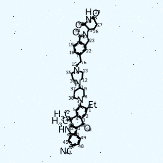 CCc1cc2c(cc1N1CCC(N3CCN(CCc4ccc5c(c4)CN(C4CCC(=O)NC4=O)C5=O)CC3)CC1)C(C)(C)c1[nH]c3cc(C#N)ccc3c1C2=O